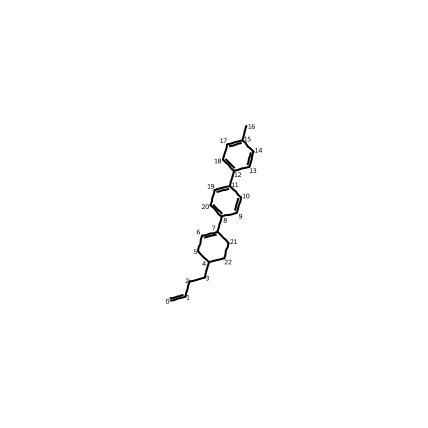 C=CCCC1CC=C(c2ccc(-c3ccc(C)cc3)cc2)CC1